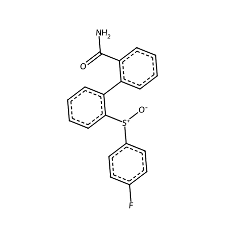 NC(=O)c1ccccc1-c1ccccc1[S+]([O-])c1ccc(F)cc1